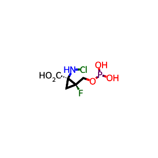 O=C(O)[C@@]1(NCl)C[C@@]1(F)COP(O)O